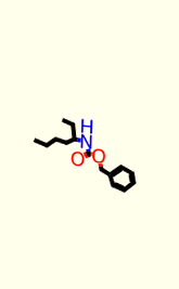 CCCCC(CC)NC(=O)OCc1ccccc1